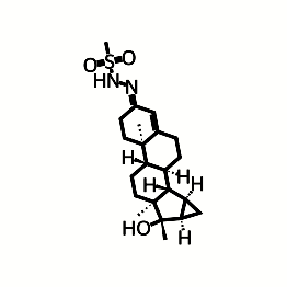 C[C@]12CC/C(=N\NS(C)(=O)=O)C=C1CC[C@H]1[C@@H]3[C@H]4C[C@H]4[C@](C)(O)[C@@]3(C)CC[C@@H]12